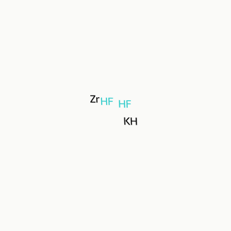 F.F.[KH].[Zr]